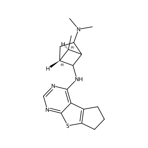 C[C@H]1C2C(Nc3ncnc4sc5c(c34)CCC5)[C@@H]1CC2N(C)C